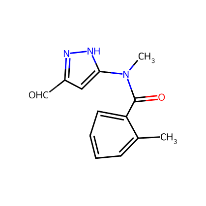 Cc1ccccc1C(=O)N(C)c1cc(C=O)n[nH]1